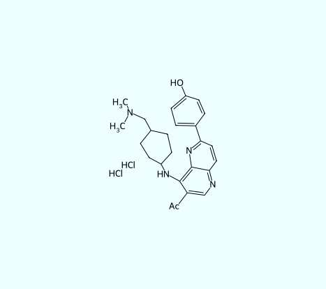 CC(=O)c1cnc2ccc(-c3ccc(O)cc3)nc2c1NC1CCC(CN(C)C)CC1.Cl.Cl